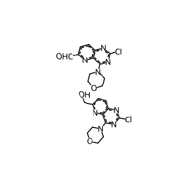 O=Cc1ccc2nc(Cl)nc(N3CCOCC3)c2n1.OCc1ccc2nc(Cl)nc(N3CCOCC3)c2n1